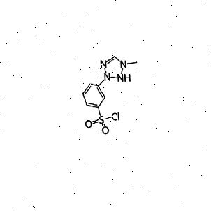 CN1C=NN(c2cccc(S(=O)(=O)Cl)c2)N1